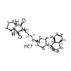 Cl.O=C1[C@H]2CCCC[C@H]2C(=O)N1CCCCN1CCN(C2=NSCc3ccccc32)CC1